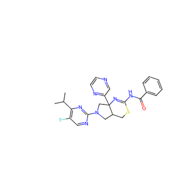 CC(C)c1nc(N2CC3CSC(NC(=O)c4ccccc4)=NC3(c3cnccn3)C2)ncc1F